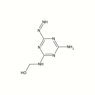 N=Nc1nc(N)nc(NCO)n1